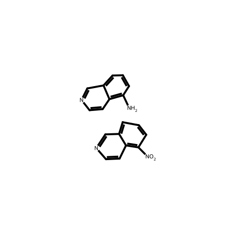 Nc1cccc2cnccc12.O=[N+]([O-])c1cccc2cnccc12